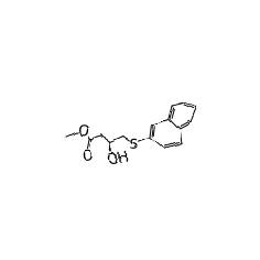 COC(=O)C[C@H](O)CSc1ccc2ccccc2c1